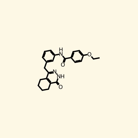 CCOc1ccc(C(=O)Nc2cccc(Cc3n[nH]c(=O)c4c3CCCC4)c2)cc1